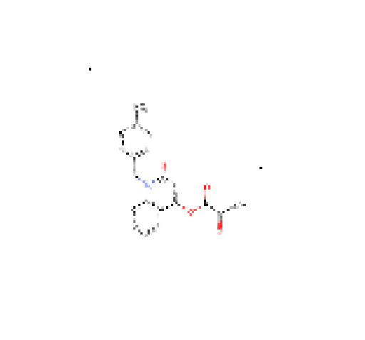 CCCC(=O)C(=O)Oc1cc(=O)n(Cc2ccc([N+](=O)[O-])cc2)c2ccccc12